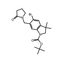 CC(C)(C)OC(=O)N1CC(C)(C)c2cc(Br)c(CN3CCCC3=O)cc21